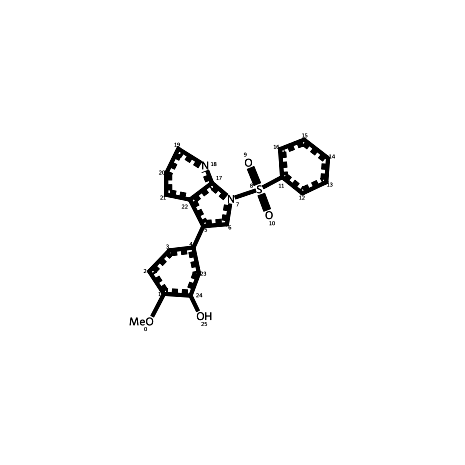 COc1ccc(-c2cn(S(=O)(=O)c3ccccc3)c3ncccc23)cc1O